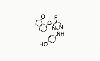 O=C1CCc2cccc(Oc3nc(Nc4ccc(O)cc4)ncc3F)c21